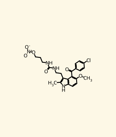 COc1ccc2[nH]c(C)c(CCNC(=O)NCCCO[N+](=O)[O-])c2c1C(=O)c1ccc(Cl)cc1